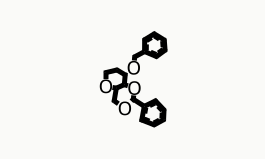 c1ccc(CO[C@H]2CCOC3COC(c4ccccc4)OC32)cc1